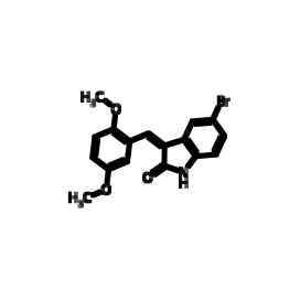 COc1ccc(OC)c(/C=C2\C(=O)Nc3ccc(Br)cc32)c1